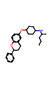 CCCC(C)NC1CCC(Oc2ccc3c(c2)CCC(c2ccccc2)O3)CC1